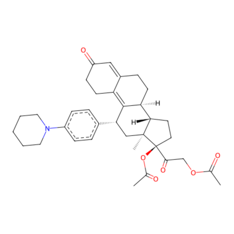 CC(=O)OCC(=O)[C@@]1(OC(C)=O)CC[C@H]2[C@@H]3CCC4=CC(=O)CCC4=C3[C@@H](c3ccc(N4CCCCC4)cc3)C[C@@]21C